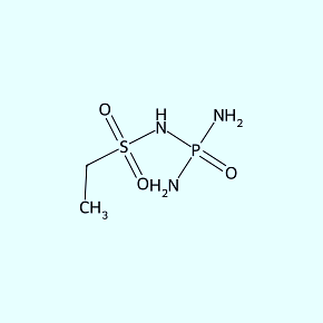 CCS(=O)(=O)NP(N)(N)=O